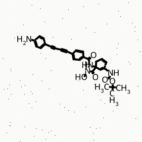 CC(C)(C)OC(=O)NC1=CC(NC(=O)c2ccc(C#CC#Cc3ccc(N)cc3)cc2)(C(=O)NO)CC=C1